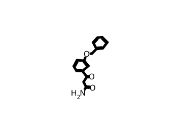 NC(=O)CC(=O)c1cccc(OCc2ccccc2)c1